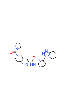 O=C(Nc1cccc(-c2nnc3n2CCCC3)n1)c1cc2c(cn1)CCN(C(=O)N1CCCC1)C2